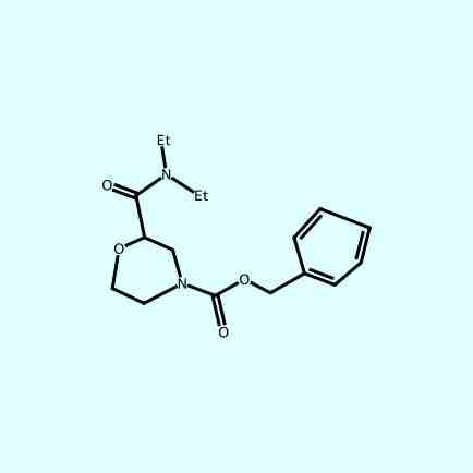 CCN(CC)C(=O)C1CN(C(=O)OCc2ccccc2)CCO1